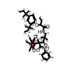 CCC(Oc1ccc(C(C)(C)CC)cc1C(C)(C)CC)C(=O)NCC(C)(C)C(=O)C(Cl)(C(=O)Nc1ccccc1)C12ON(C1=O)C(C)(C)C2=O